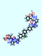 COC(=O)NC(C(=O)N1CCC[C@H]1c1ncc(-c2ccc(-c3ccc4c(c3)C(F)(F)c3cc(-c5cnc([C@@H]6CCCN6C(=O)[C@@H](NC(=O)OC)C(C)C)[nH]5)ccc3-4)cc2)[nH]1)c1ccccc1